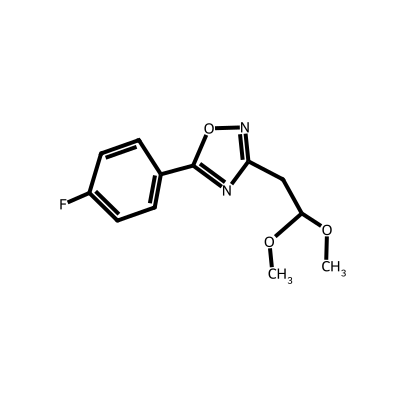 COC(Cc1noc(-c2ccc(F)cc2)n1)OC